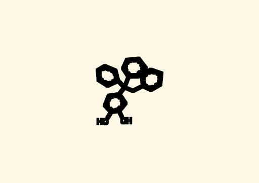 Oc1ccc(C(Cc2ccccc2)(c2ccccc2)c2ccccc2)cc1O